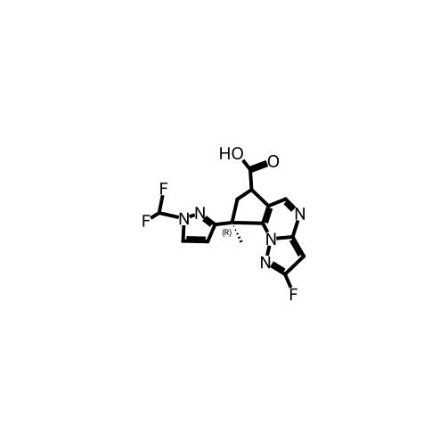 C[C@]1(c2ccn(C(F)F)n2)CC(C(=O)O)c2cnc3cc(F)nn3c21